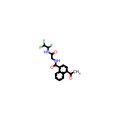 CC(=O)c1ccc(C(=O)NCC(=O)NC(F)C(F)F)c2ccccc12